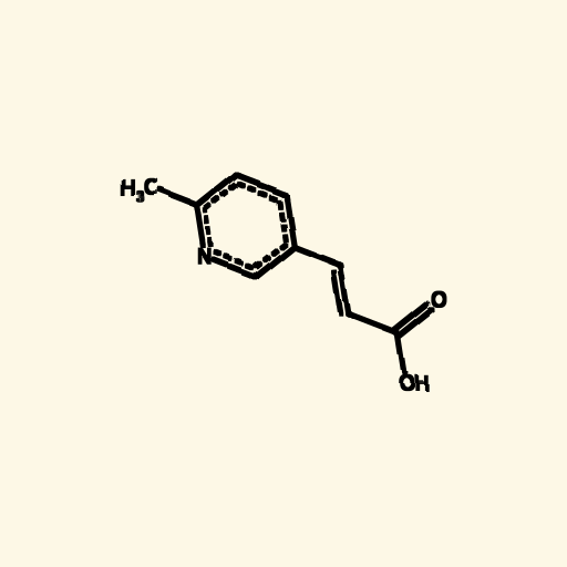 Cc1ccc(C=CC(=O)O)cn1